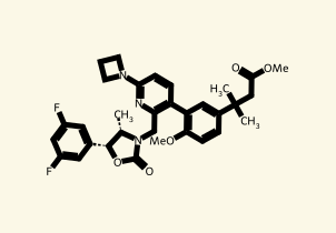 COC(=O)CC(C)(C)c1ccc(OC)c(-c2ccc(N3CCC3)nc2CN2C(=O)O[C@H](c3cc(F)cc(F)c3)[C@@H]2C)c1